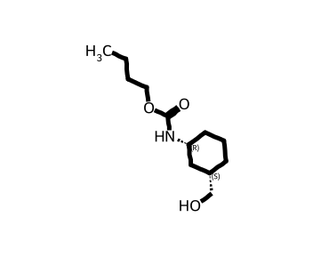 CCCCOC(=O)N[C@@H]1CCC[C@H](CO)C1